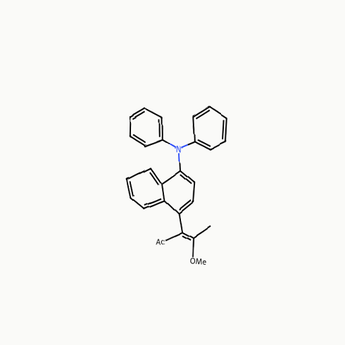 CO/C(C)=C(\C(C)=O)c1ccc(N(c2ccccc2)c2ccccc2)c2ccccc12